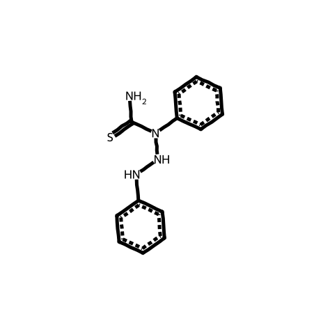 NC(=S)N(NNc1ccccc1)c1ccccc1